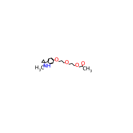 CNC1(c2ccc(OCCCOCCCOCC(C)=O)cc2)CC1